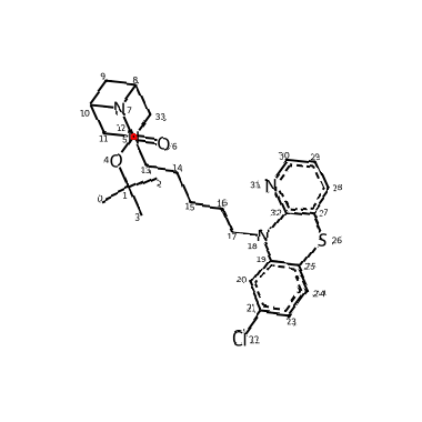 CC(C)(C)OC(=O)N1C2CC1CN(CCCCCN1c3cc(Cl)ccc3Sc3cccnc31)C2